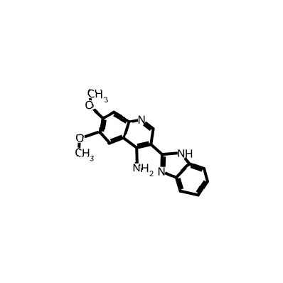 COc1cc2ncc(-c3nc4ccccc4[nH]3)c(N)c2cc1OC